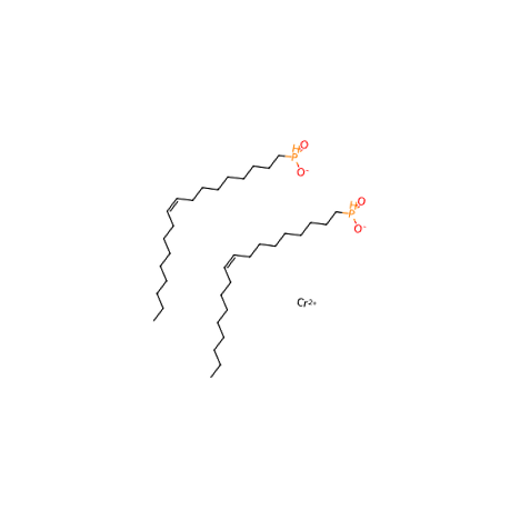 CCCCCCCC/C=C\CCCCCCCC[PH](=O)[O-].CCCCCCCC/C=C\CCCCCCCC[PH](=O)[O-].[Cr+2]